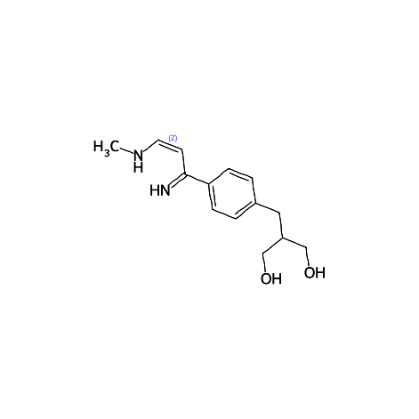 CN/C=C\C(=N)c1ccc(CC(CO)CO)cc1